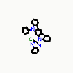 Clc1nc2ccccc2nc1-n1c2ccccc2c2cc3c4ccccc4n(-c4ccccc4)c3cc21